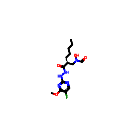 CCCCC[C@H](CN(O)C=O)C(=O)NNc1ncc(F)c(OC)n1